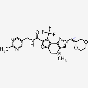 Cc1ncc(CNC(=O)c2oc3c(c2C(F)(F)F)-c2nn(/C=C4/COCCO4)cc2[C@H](C)C3)cn1